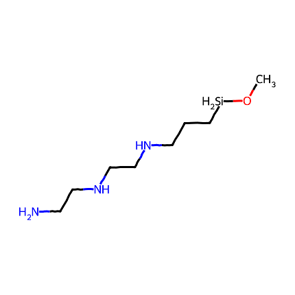 CO[SiH2]CCCNCCNCCN